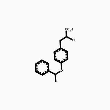 CC(Oc1ccc(CC(Cl)C(=O)O)cc1)c1ccccc1